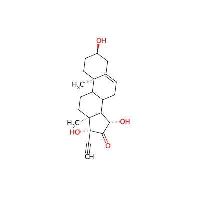 C#C[C@]1(O)C(=O)[C@@H](O)C2C3CC=C4C[C@H](O)CC[C@]4(C)C3CC[C@@]21C